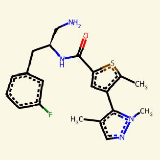 Cc1cnn(C)c1-c1cc(C(=O)N[C@H](CN)Cc2cccc(F)c2)sc1C